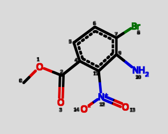 COC(=O)c1ccc(Br)c(N)c1[N+](=O)[O-]